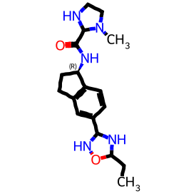 CCC1NC(c2ccc3c(c2)CC[C@H]3NC(=O)C2NCCN2C)NO1